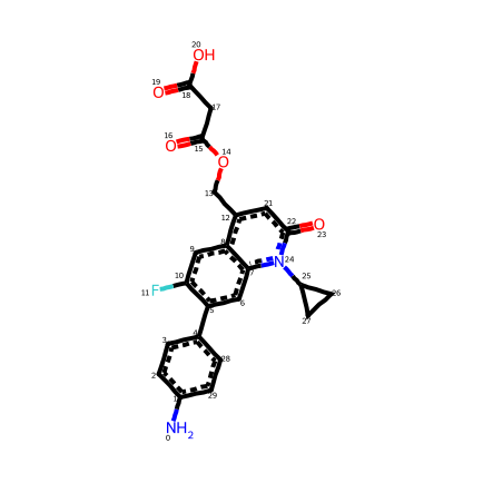 Nc1ccc(-c2cc3c(cc2F)c(COC(=O)CC(=O)O)cc(=O)n3C2CC2)cc1